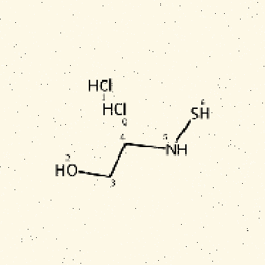 Cl.Cl.OCCNS